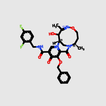 C/C1=N/OCC[C@H](C)N2C[C@H](C1O)n1cc(C(=O)NCc3ccc(F)cc3F)c(=O)c(OCc3ccccc3)c1C2=O